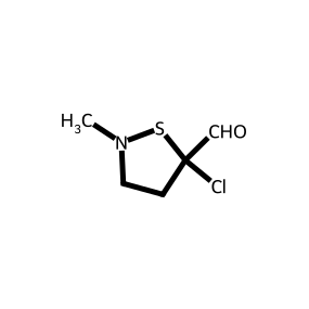 CN1CCC(Cl)(C=O)S1